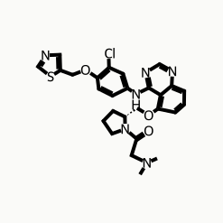 CN(C)CC(=O)N1CCC[C@@H]1COc1cccc2ncnc(Nc3ccc(OCc4cncs4)c(Cl)c3)c12